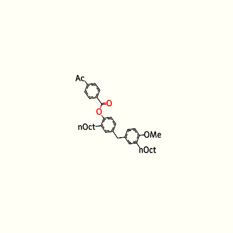 CCCCCCCCc1cc(Cc2ccc(OC(=O)c3ccc(C(C)=O)cc3)c(CCCCCCCC)c2)ccc1OC